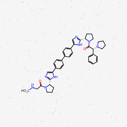 O=C(O)NCC(=O)N1CCC[C@H]1c1ncc(-c2ccc(-c3ccc(-c4cnc([C@@H]5CCCN5C(=O)[C@@H](c5ccccc5)N5CCCC5)[nH]4)cc3)cc2)[nH]1